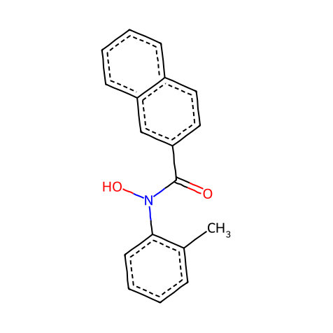 Cc1ccccc1N(O)C(=O)c1ccc2ccccc2c1